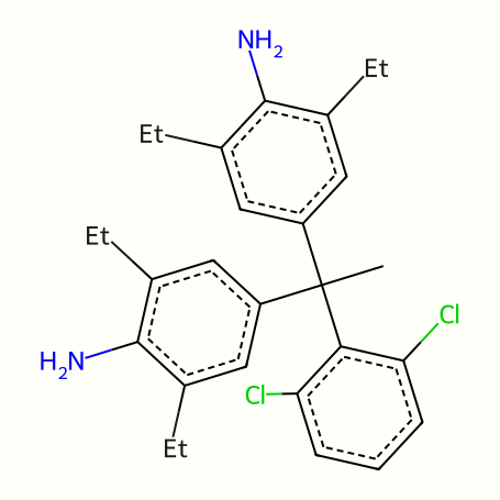 CCc1cc(C(C)(c2cc(CC)c(N)c(CC)c2)c2c(Cl)cccc2Cl)cc(CC)c1N